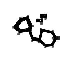 C(=C1CCNCC1)c1ccccn1.Cl.Cl